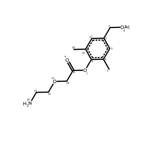 CC(=O)OCc1cc(C)c(OC(=O)COCCN)c(C)c1